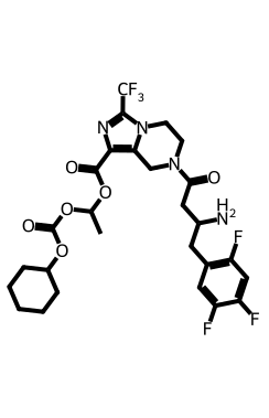 CC(OC(=O)OC1CCCCC1)OC(=O)c1nc(C(F)(F)F)n2c1CN(C(=O)CC(N)Cc1cc(F)c(F)cc1F)CC2